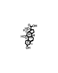 C[C@]12CC[C@H](O)CC1=CC[C@@H]1[C@@H]2[C@@H](O)C[C@@]2(C)[C@H]1CC[C@]2(O)C(=O)O